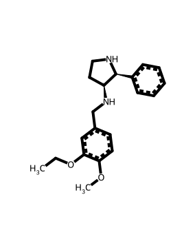 CCOc1cc(CN[C@H]2CCN[C@H]2c2ccccc2)ccc1OC